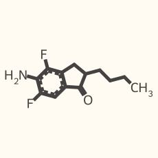 CCCCC1Cc2c(cc(F)c(N)c2F)C1=O